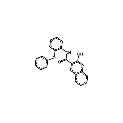 O=C(Nc1ccccc1Oc1ccccc1)c1cc2ccccc2cc1O